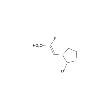 CCC1CCCC1C=C(F)C(=O)O